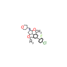 Cc1cc(-c2ccc(Cl)cc2F)cc(C)c1C1C(=O)C/C(=C\C2CCOCC2)C1=O